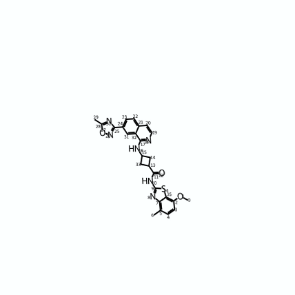 COc1ccc(C)c2nc(NC(=O)C3CC(Nc4nccc5ccc(-c6noc(C)n6)cc45)C3)sc12